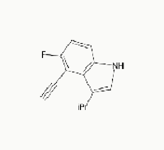 C#Cc1c(F)ccc2[nH]cc(C(C)C)c12